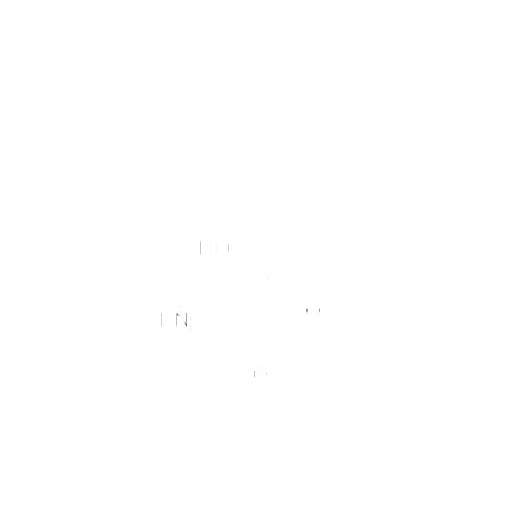 CCCCC(O)(OCC)C(=O)NC1CC1